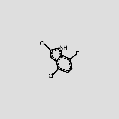 Fc1ccc(Cl)c2cc(Cl)[nH]c12